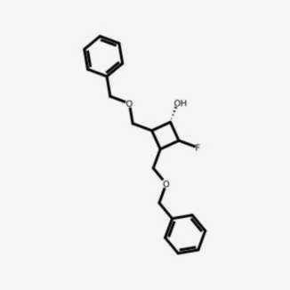 O[C@@H]1C(F)C(COCc2ccccc2)C1COCc1ccccc1